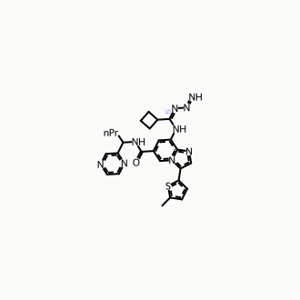 CCCC(NC(=O)c1cc(N/C(=N\N=N)C2CCC2)c2ncc(-c3ccc(C)s3)n2c1)c1cnccn1